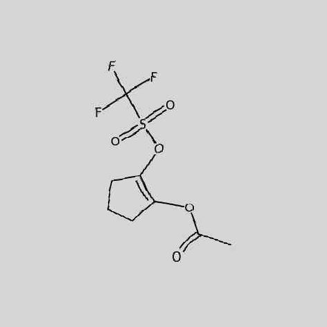 CC(=O)OC1=C(OS(=O)(=O)C(F)(F)F)CCC1